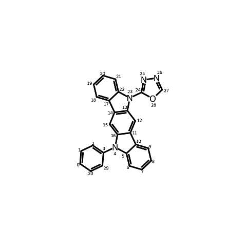 c1ccc(-n2c3ccccc3c3cc4c(cc32)c2ccccc2n4-c2nnco2)cc1